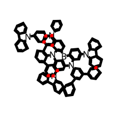 c1ccc(-c2cc(-c3ccccc3)cc(N3c4cc(-n5c6ccccc6c6ccccc65)ccc4B4c5ccc(N(c6ccccc6)c6ccc(-n7c8ccccc8c8ccccc87)cc6)cc5N(c5c(-c6ccccc6)cccc5-c5ccccc5)c5cc(-n6c7ccccc7c7ccccc76)cc3c54)c2)cc1